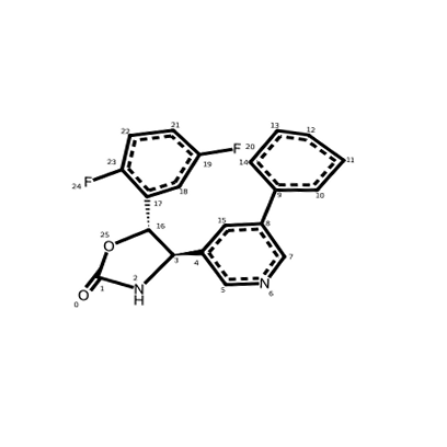 O=C1N[C@H](c2cncc(-c3ccccc3)c2)[C@@H](c2cc(F)ccc2F)O1